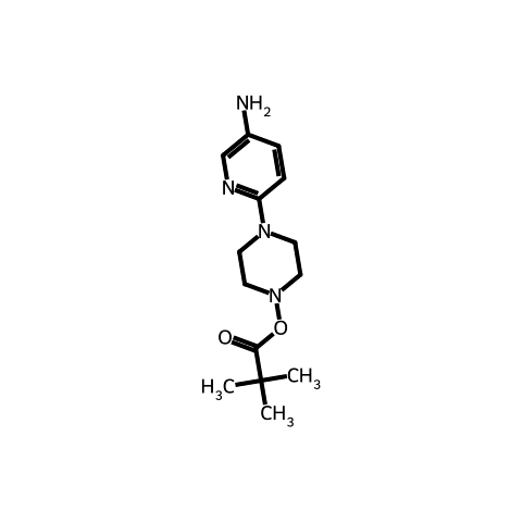 CC(C)(C)C(=O)ON1CCN(c2ccc(N)cn2)CC1